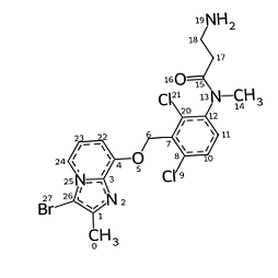 Cc1nc2c(OCc3c(Cl)ccc(N(C)C(=O)CCN)c3Cl)cccn2c1Br